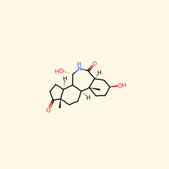 C[C@]12CC[C@H](O)C[C@@H]1C(=O)N[C@@H](O)C1[C@@H]2CC[C@]2(C)C(=O)CC[C@@H]12